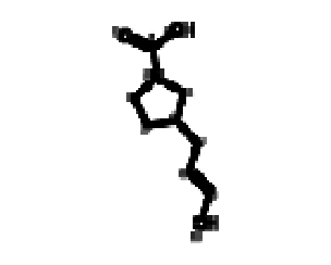 O=C(O)N1CCC(CC=CO)C1